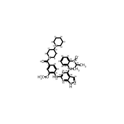 COc1cc(C(=O)N2CCC(N3CCCCC3)CC2)ccc1Nc1nc(Nc2ccccc2[S+]([O-])C(C)C)c2cn[nH]c2n1